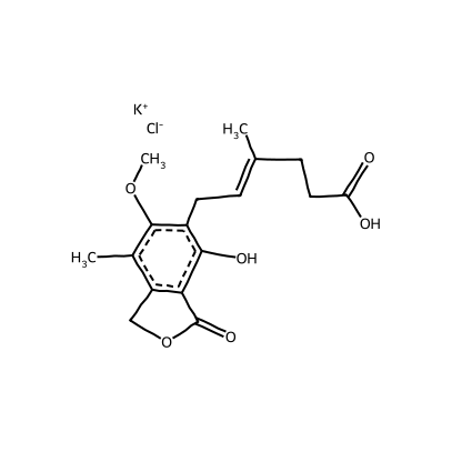 COc1c(C)c2c(c(O)c1C/C=C(\C)CCC(=O)O)C(=O)OC2.[Cl-].[K+]